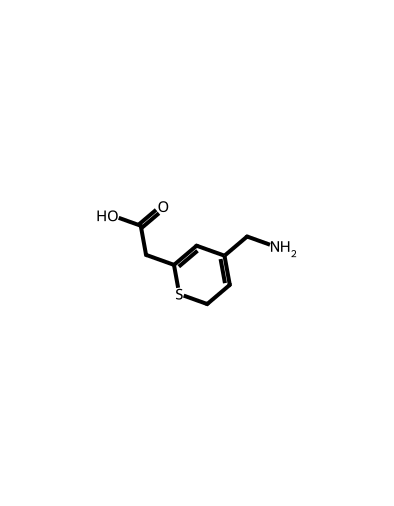 NCC1=CCSC(CC(=O)O)=C1